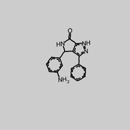 Nc1cccc(C2NC(=O)c3[nH]nc(-c4ccccc4)c32)c1